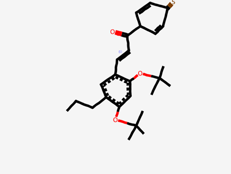 CCCc1cc(/C=C/C(=O)C2C=CC(=S)C=C2)c(OC(C)(C)C)cc1OC(C)(C)C